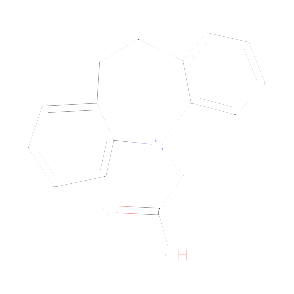 O=C(O)CN1c2ccccc2CCc2ccccc21